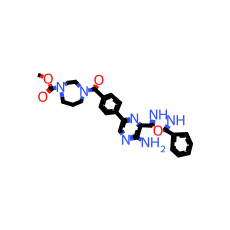 COC(=O)N1CCCN(C(=O)c2ccc(-c3cnc(N)c(C(=N)OC(=N)c4ccccc4)n3)cc2)CC1